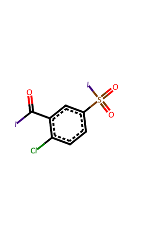 O=C(I)c1cc(S(=O)(=O)I)ccc1Cl